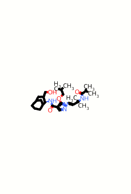 CC(C)COc1c(C(=O)N[C@@H]2C(CO)CC3CCCC2C3)cnn1/C=C/C(C)(C)NC(=O)C(C)C